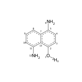 [2H]Oc1ccc(N)c2cccc(N)c12